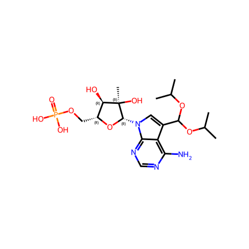 CC(C)OC(OC(C)C)c1cn([C@@H]2O[C@H](COP(=O)(O)O)[C@@H](O)[C@@]2(C)O)c2ncnc(N)c12